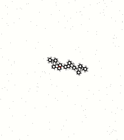 c1ccc(-c2ccccc2N(c2ccc(-c3ccc4cc5c6c(cccc6c4c3)Oc3cc(N(c4ccccc4)c4cccc6c4oc4ccccc46)ccc3-5)cc2)c2cccc3c2oc2ccccc23)cc1